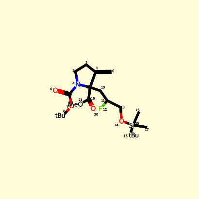 C=C1CCN(C(=O)OC(C)(C)C)C1(CC(F)CO[Si](C)(C)C(C)(C)C)C(=O)OC